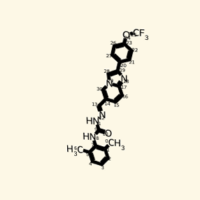 Cc1cccc(C)c1NC(=O)N/N=C/c1ccc2nc(-c3ccc(OC(F)(F)F)cc3)cn2c1